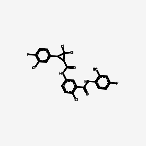 N#Cc1cc(F)ccc1NC(=O)c1cc(NC(=O)C2C(c3ccc(F)c(Cl)c3)C2(Cl)Cl)ccc1Cl